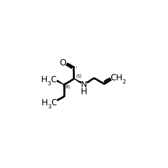 C=CCN[C@H]([C]=O)[C@H](C)CC